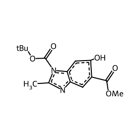 COC(=O)c1cc2nc(C)n(C(=O)OC(C)(C)C)c2cc1O